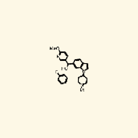 CCN1CCC(n2ccc3ccc(C(O)c4ccc(OC)nc4)cc32)CC1.Fc1ccccc1